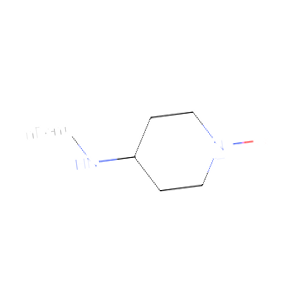 CCCCCNC1CC[NH+]([O-])CC1